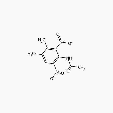 CC(=O)Nc1c([N+](=O)[O-])cc(C)c(C)c1[N+](=O)[O-]